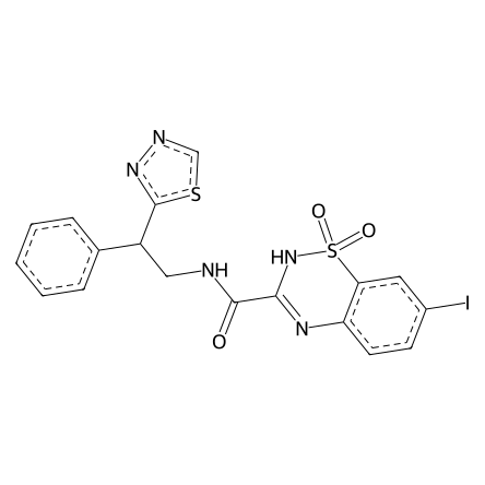 O=C(NCC(c1ccccc1)c1nncs1)C1=Nc2ccc(I)cc2S(=O)(=O)N1